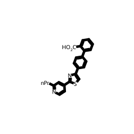 CCCc1cc(-c2nc(-c3ccc(-c4ccccc4C(=O)O)cc3)cs2)ccn1